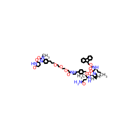 CCCC[C@H](NC(=O)OCC1c2ccccc2-c2ccccc21)C(=O)N1C[C@H]2C[C@H]2[C@H]1C(=O)N[C@@H](CCC(N)=O)[C@@H](C)OCc1ccc(CCCNC(=O)COCCOCCOCCCc2ccc3c(c2)n(C)c(=O)n3C2CCC(=O)NC2=O)cc1